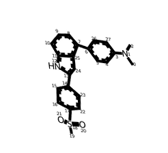 CN(C)c1ccc(-c2cccc3[nH]c(-c4ccc(S(C)(=O)=O)cc4)cc23)cc1